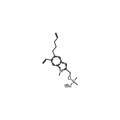 C=CCCCc1cc2cc(CO[Si](C)(C)C(C)(C)C)n(C)c2cc1C=C